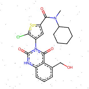 CN(C(=O)c1cc(-n2c(=O)[nH]c3cccc(CO)c3c2=O)c(Cl)s1)C1CCCCC1